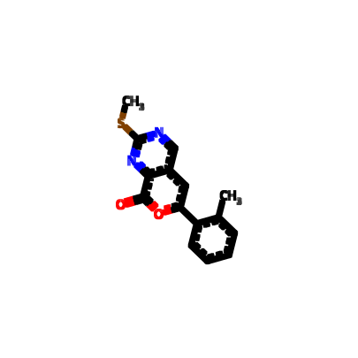 CSc1ncc2cc(-c3ccccc3C)oc(=O)c2n1